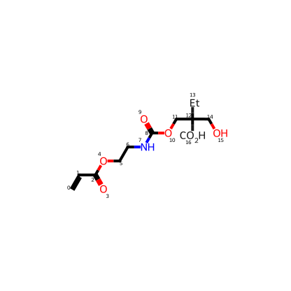 C=CC(=O)OCCNC(=O)OCC(CC)(CO)C(=O)O